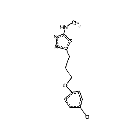 CNc1nnc(CCCOc2ccc(Cl)cc2)s1